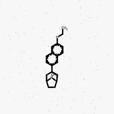 CCOc1ccc2cc(C3CC4CCC(C3)N4C)ccc2c1